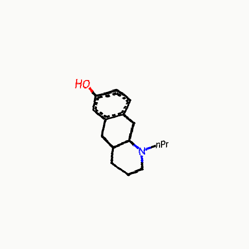 CCCN1CCCC2Cc3cc(O)ccc3CC21